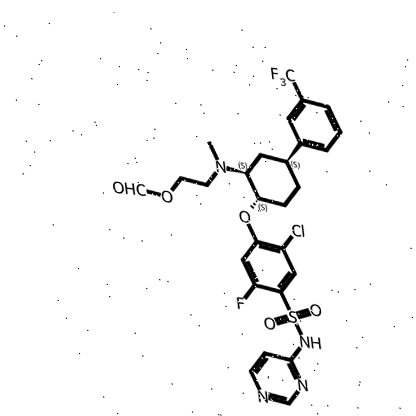 CN(CCOC=O)[C@H]1C[C@@H](c2cccc(C(F)(F)F)c2)CC[C@@H]1Oc1cc(F)c(S(=O)(=O)Nc2ccncn2)cc1Cl